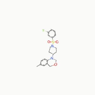 Cc1ccc2c(c1)COCN2C1CCN(S(=O)(=O)c2cccc(F)c2)CC1